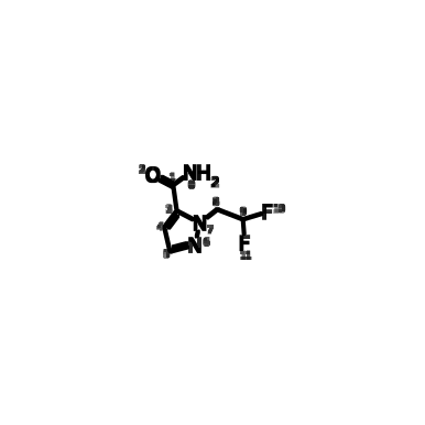 NC(=O)c1ccnn1CC(F)F